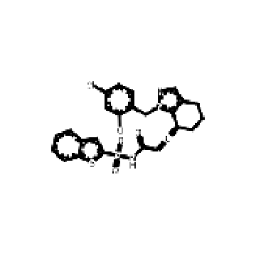 O=C(C=C=C1CCCc2cnn(Cc3ccc(Cl)cc3Cl)c21)NS(=O)(=O)c1cc2ccccc2s1